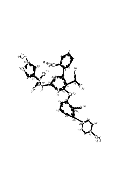 Cc1ccccc1-c1nc(NS(=O)(=O)c2cnn(C)c2)nc(Oc2cccc(N3CCN(C)CC3)c2F)c1C(F)F